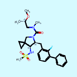 CO[C@@H](C)CN(C)C(=O)N1CC2(CC2)[C@H](NS(C)(=O)=O)[C@@H]1Cc1cccc(-c2ccccc2)c1F